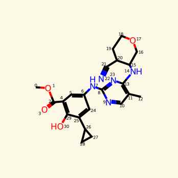 COC(=O)c1cc(Nc2ncc(C)c(NC3COCCC3C#N)n2)cc(C2CC2)c1O